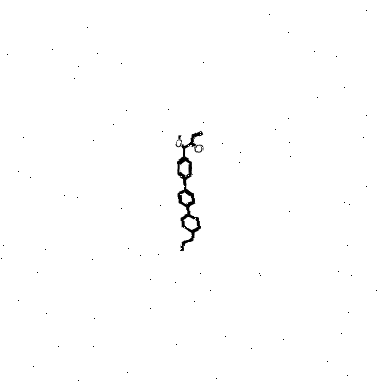 C=CC(=O)C(OC)c1ccc(-c2ccc(C3CCC(CCC)CC3)cc2)cc1